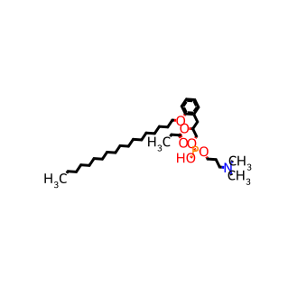 CCCCCCCCCCCCCCCCCCOc1ccccc1CC(COP(O)OCCCN(C)C)OC(=O)CC